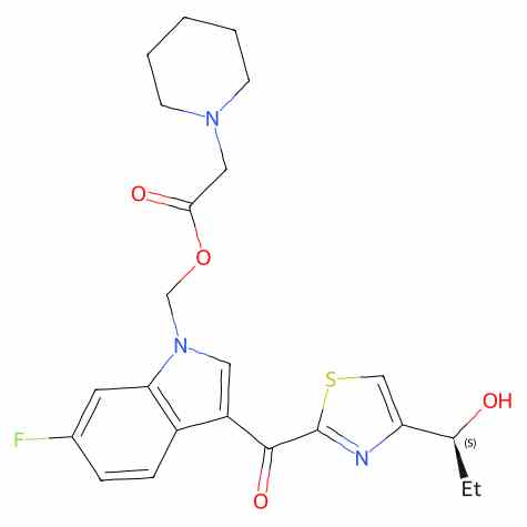 CC[C@H](O)c1csc(C(=O)c2cn(COC(=O)CN3CCCCC3)c3cc(F)ccc23)n1